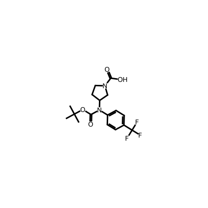 CC(C)(C)OC(=O)N(c1ccc(C(F)(F)F)cc1)C1CCN(C(=O)O)C1